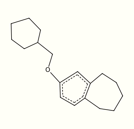 c1cc2c(cc1OCC1CCCCC1)CCCCC2